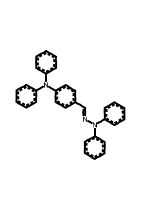 C(=N\N(c1ccccc1)c1ccccc1)/c1ccc(N(c2ccccc2)c2ccccc2)cc1